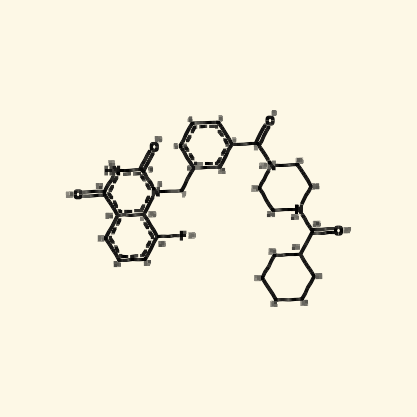 O=C(c1cccc(Cn2c(=O)[nH]c(=O)c3cccc(F)c32)c1)N1CCN(C(=O)C2CCCCC2)CC1